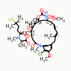 COc1cc2cc(c1Cl)N(C)C(=O)C[C@H](OC(=O)[C@H](C)N(C)C(=O)CCC(C)(C)S)[C@]1(C)O[C@H]1C(C)(C)[C@@H]1C[C@@](O)(NC(=O)O1)[C@H](OC)/C=C/C=C(\C)C2